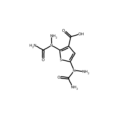 NC(=O)N(N)c1cc(C(=O)O)c(N(N)C(N)=O)s1